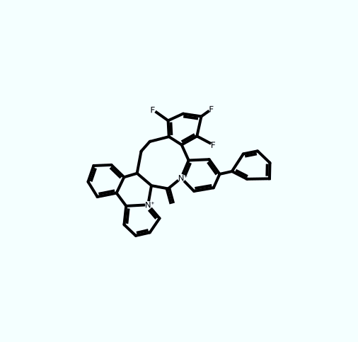 C=C1C2C(CCc3c(F)cc(F)c(F)c3-c3cc(-c4ccccc4)cc[n+]31)c1ccccc1-c1cccc[n+]12